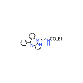 CCOC(=O)NCCCN1c2ccccc2C(c2ccccc2)=Nc2cccnc21